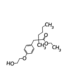 CCCCC(C)(Cc1ccc(OCCO)cc1)C(=O)OCC